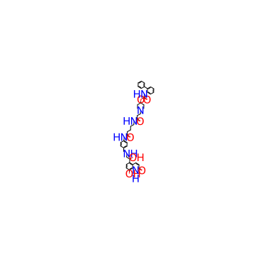 O=C(CCN1CCC(OC(=O)Nc2ccccc2-c2ccccc2)CC1)NCCCCC(=O)Nc1ccc(CNCC(O)c2ccc(O)c3[nH]c(=O)ccc23)cc1